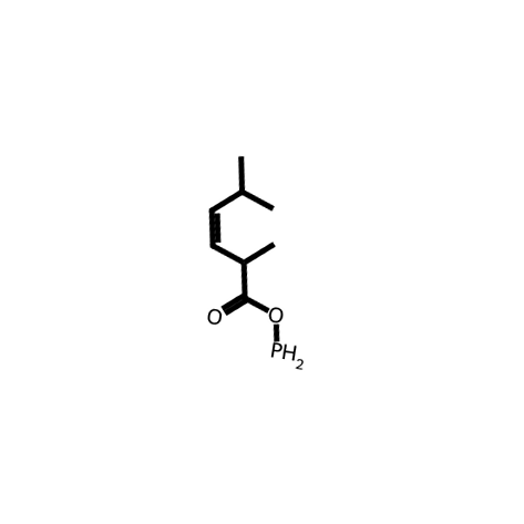 CC(C)/C=C\C(C)C(=O)OP